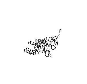 C[C@H]1CN(c2ccncc2NC(=O)c2c(NC(=O)OC(C)(C)C)oc3cc(CCCF)cnc23)CC(NC(=O)OC(C)(C)C)[C@@H]1O[Si](C)(C)C(C)(C)C